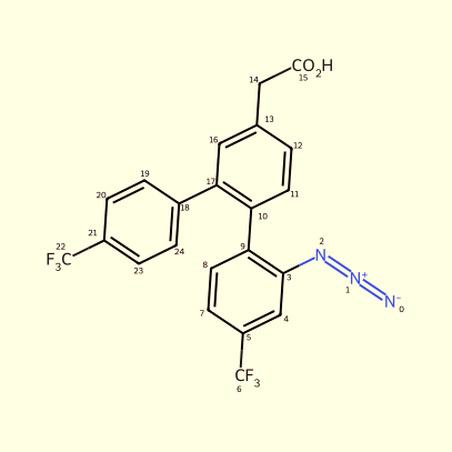 [N-]=[N+]=Nc1cc(C(F)(F)F)ccc1-c1ccc(CC(=O)O)cc1-c1ccc(C(F)(F)F)cc1